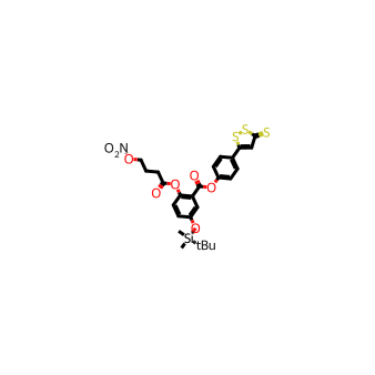 CC(C)(C)[Si](C)(C)Oc1ccc(OC(=O)CCCO[N+](=O)[O-])c(C(=O)Oc2ccc(-c3cc(=S)ss3)cc2)c1